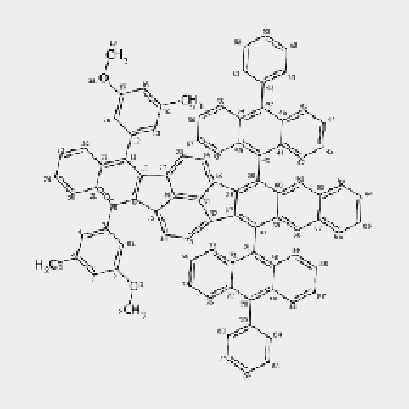 COc1cc(C)cc(-c2c3c(c(-c4cc(C)cc(OC)c4)c4ccccc24)-c2ccc4c5c(ccc-3c25)-c2c-4c(-c3c4ccccc4c(-c4ccccc4)c4ccccc34)c3cc4ccccc4cc3c2-c2c3ccccc3c(-c3ccccc3)c3ccccc23)c1